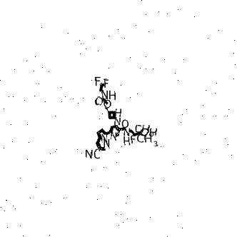 CC(C)(O)[C@H](F)CNC(=O)c1cnc(-c2ccc3cc(C#N)cnn23)cc1N[C@H]1C[C@H](COC(=O)NCC(F)F)C1